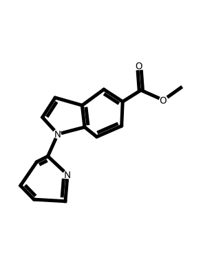 COC(=O)c1ccc2c(ccn2-c2ccccn2)c1